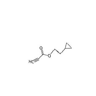 C#CC(=O)OCCC1CC1